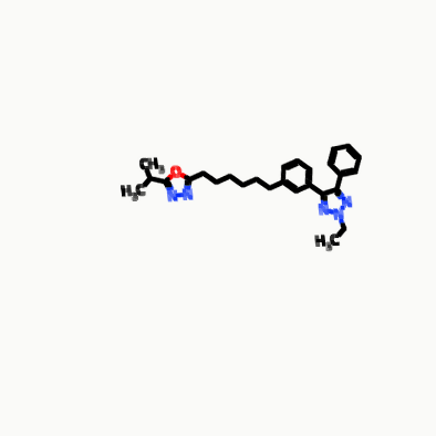 CCn1nc(-c2ccccc2)c(-c2cccc(CCCCCCc3nnc(C(C)C)o3)c2)n1